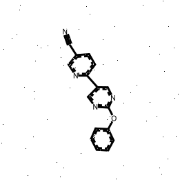 N#Cc1ccc(-c2cnc(Oc3ccccc3)nc2)nc1